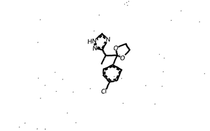 CC(c1nc[nH]n1)C1(c2ccc(Cl)cc2)OCCO1